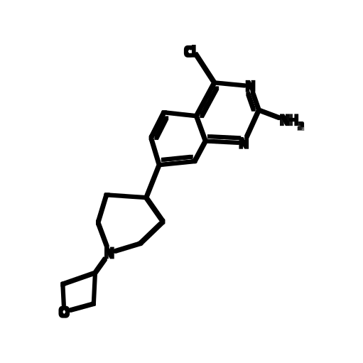 Nc1nc(Cl)c2ccc(C3CCN(C4COC4)CC3)cc2n1